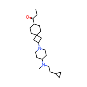 CCC(=O)[C@H]1CCC2(CC1)C[C@H](N1CCC(N(C)CCC3CC3)CC1)C2